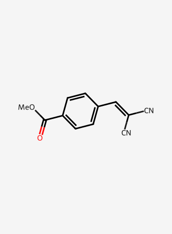 COC(=O)c1ccc(C=C(C#N)C#N)cc1